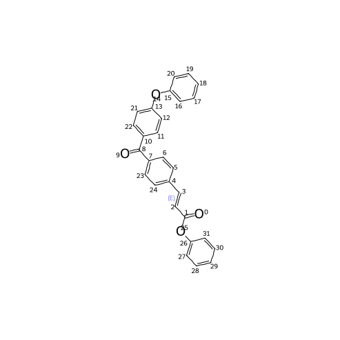 O=C(/C=C/c1ccc(C(=O)c2ccc(Oc3ccccc3)cc2)cc1)Oc1ccccc1